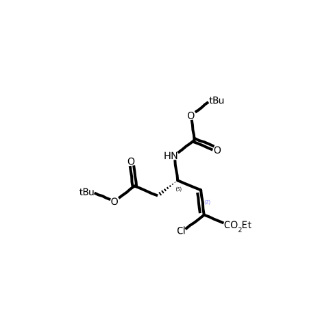 CCOC(=O)/C(Cl)=C/[C@H](CC(=O)OC(C)(C)C)NC(=O)OC(C)(C)C